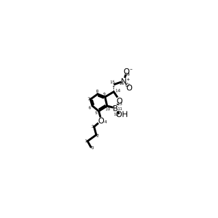 CCCCOc1cccc2c1B(O)O[C@H]2C[N+](=O)[O-]